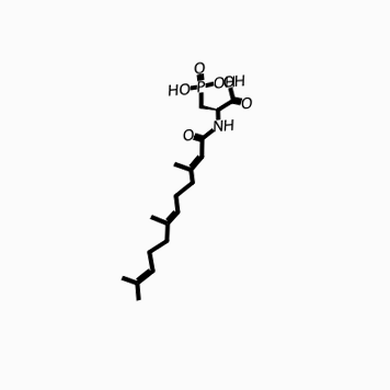 CC(C)=CCC/C(C)=C/CC/C(C)=C/C(=O)N[C@@H](CP(=O)(O)O)C(=O)O